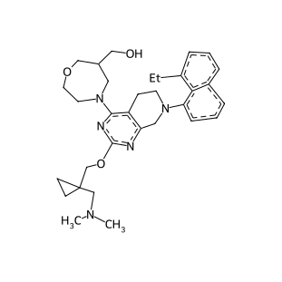 CCc1cccc2cccc(N3CCc4c(nc(OCC5(CN(C)C)CC5)nc4N4CCOCC(CO)C4)C3)c12